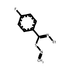 C=NS/C(=N\CC)c1ccc(F)cc1